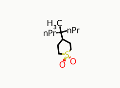 CCCC(C)(CCC)C1CCS(=O)(=O)CC1